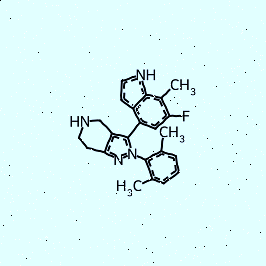 Cc1cccc(C)c1-n1nc2c(c1-c1cc(F)c(C)c3[nH]ccc13)CNCC2